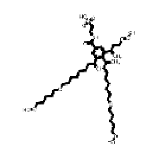 C=C(CCCCCCCOCCCCCOO)c1cc(C(=O)NCCS(=O)(=O)O)cc(C(=C)CCOOO)c1C(=C)CCCCCCCOCCCCCOO